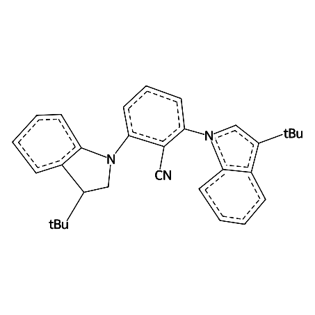 CC(C)(C)c1cn(-c2cccc(N3CC(C(C)(C)C)c4ccccc43)c2C#N)c2ccccc12